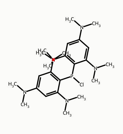 CN(C)c1cc(N(C)C)c(P(Cl)c2c(N(C)C)cc(N(C)C)cc2N(C)C)c(N(C)C)c1